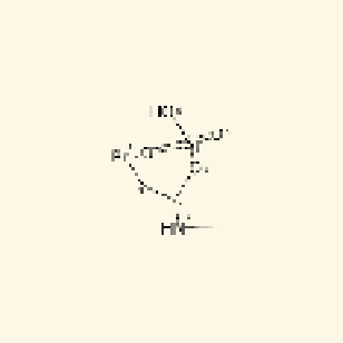 CNC(CBr)OS(=O)(=O)O